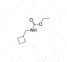 CCOC(=O)NCC1CCC1